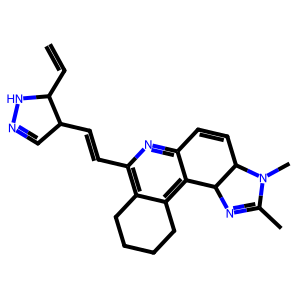 C=CC1NN=CC1/C=C/c1nc2c(c3c1CCCC3)C1N=C(C)N(C)C1C=C2